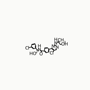 C[C@@H](CO)Nc1ncc(Cl)c(-c2ccc(C(=O)N[C@H](CO)c3cccc(Cl)c3)cc2)n1